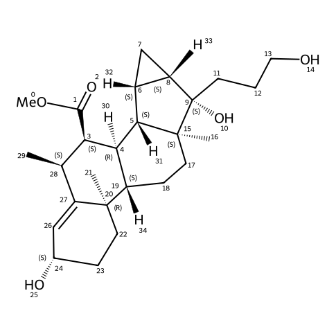 COC(=O)[C@H]1[C@H]2[C@@H]3[C@@H]4C[C@@H]4[C@@](O)(CCCO)[C@@]3(C)CC[C@@H]2[C@@]2(C)CC[C@H](O)C=C2[C@H]1C